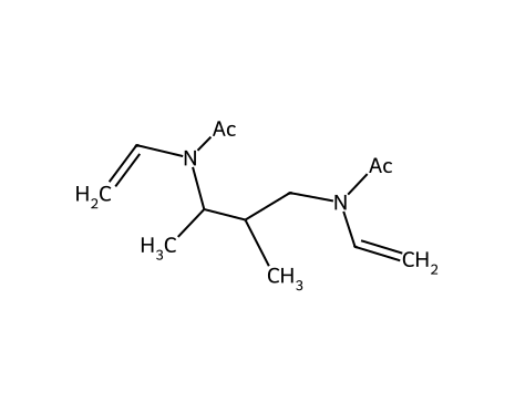 C=CN(CC(C)C(C)N(C=C)C(C)=O)C(C)=O